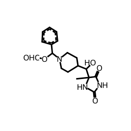 CC1(C(O)C2CCN(C(OC=O)c3ccccc3)CC2)NC(=O)NC1=O